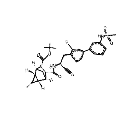 C[C@H]1[C@H]2[C@H]3C[C@@H]([C@@H]12)N(C(=O)OC(C)(C)C)[C@@H]3C(=O)N[C@H](C#N)Cc1ccc(-c2cccc(NS(C)(=O)=O)c2)cc1F